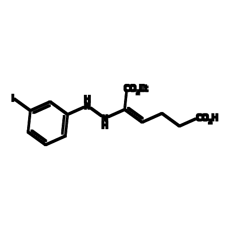 CCOC(=O)/C(=C\CCC(=O)O)NNc1cccc(I)c1